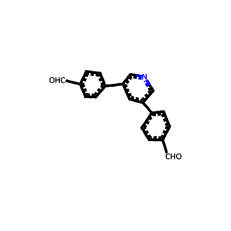 O=Cc1ccc(-c2cncc(-c3ccc(C=O)cc3)c2)cc1